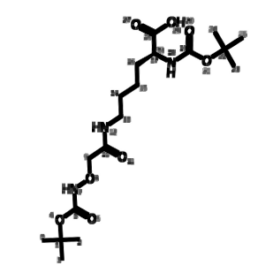 CC(C)(C)OC(=O)NOCC(=O)NCCCC[C@H](NC(=O)OC(C)(C)C)C(=O)O